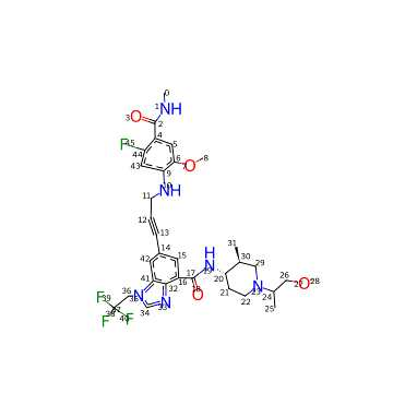 CNC(=O)c1cc(OC)c(NCC#Cc2cc(C(=O)N[C@H]3CCN(C(C)COC)C[C@@H]3C)c3ncn(CC(F)(F)F)c3c2)cc1F